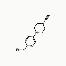 C#CN1CCN(c2ccc(OCC)cc2)CC1